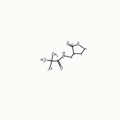 CCC(C)(C)C(=O)NCC1CCOC1=O